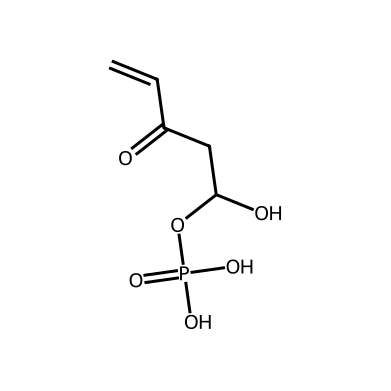 C=CC(=O)CC(O)OP(=O)(O)O